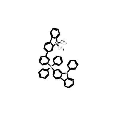 C[Si]1(C)c2ccccc2-c2ccc(-c3cccc([Si](c4ccccc4)(c4ccccc4)c4ccc5c6ccccc6n(-c6ccccc6)c5c4)c3)cc21